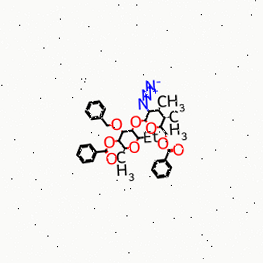 CCC1O[C@H](C)C(OC(=O)c2ccccc2)[C@H](OCc2ccccc2)[C@H]1O[C@@H]1OC(COC(=O)c2ccccc2)[C@@H](C)[C@H](C)C1N=[N+]=[N-]